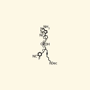 CCCCCCCCCCCCCCC#CC[C@H](COP(=O)(O)OC[C@@H]1CC[C@](C#N)(c2ccc3c(N)ncnn23)O1)OCc1ccc(C#N)c(F)c1